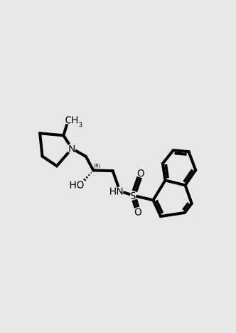 CC1CCCN1C[C@@H](O)CNS(=O)(=O)c1cccc2ccccc12